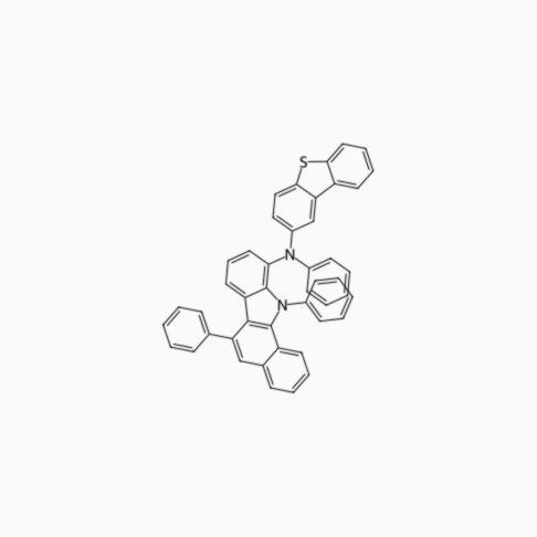 c1ccc(-c2cc3ccccc3c3c2c2cccc(N(c4ccccc4)c4ccc5sc6ccccc6c5c4)c2n3-c2ccccc2)cc1